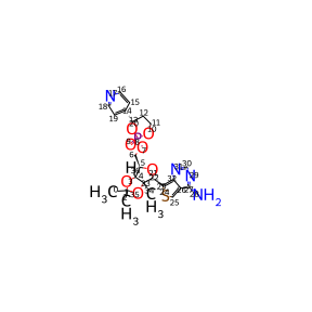 CC1(C)O[C@@H]2[C@@H](CO[P@@]3(=O)OCC[C@@H](c4ccncc4)O3)O[C@@H](c3scc4c(N)ncnc34)[C@]2(C)O1